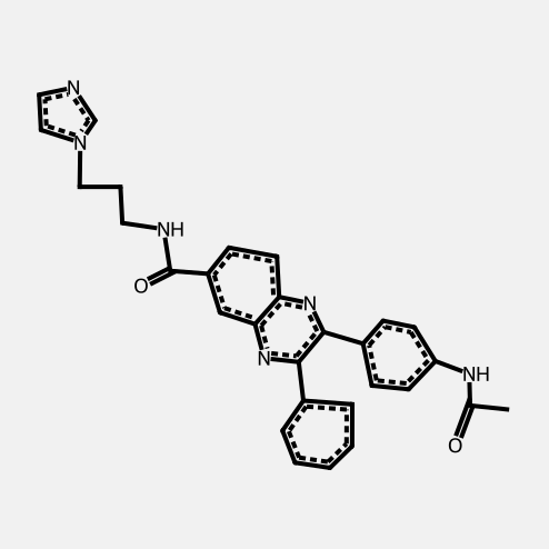 CC(=O)Nc1ccc(-c2nc3ccc(C(=O)NCCCn4ccnc4)cc3nc2-c2ccccc2)cc1